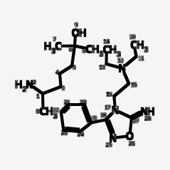 CC(N)CCCC(C)(C)O.CCN(CC)CCn1c(-c2ccccc2)noc1=N